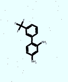 Nc1ccc(-c2cccc(C(F)(F)F)c2)c(N)c1